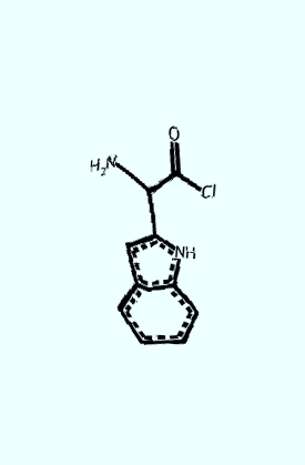 NC(C(=O)Cl)c1cc2ccccc2[nH]1